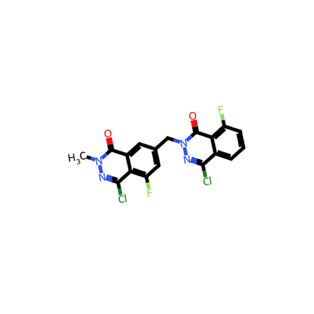 Cn1nc(Cl)c2c(F)cc(Cn3nc(Cl)c4cccc(F)c4c3=O)cc2c1=O